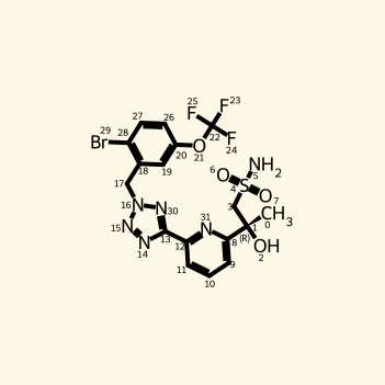 C[C@](O)(CS(N)(=O)=O)c1cccc(-c2nnn(Cc3cc(OC(F)(F)F)ccc3Br)n2)n1